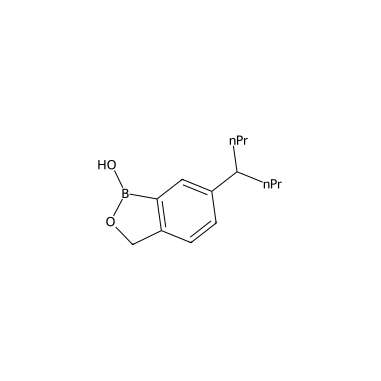 CCCC(CCC)c1ccc2c(c1)B(O)OC2